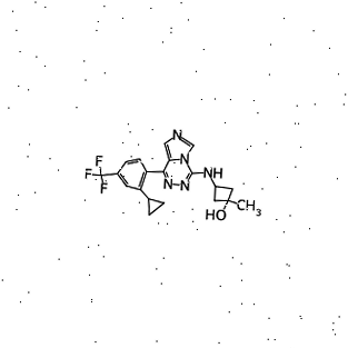 CC1(O)CC(Nc2nnc(-c3ccc(C(F)(F)F)cc3C3CC3)c3cncn23)C1